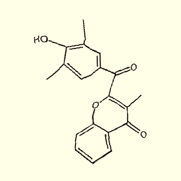 Cc1cc(C(=O)c2oc3ccccc3c(=O)c2C)cc(C)c1O